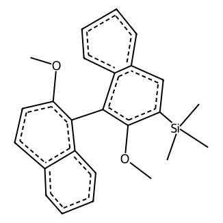 COc1ccc2ccccc2c1-c1c(OC)c([Si](C)(C)C)cc2ccccc12